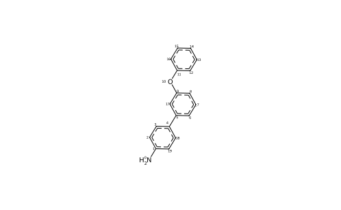 Nc1ccc(-c2c[c]cc(Oc3ccccc3)c2)cc1